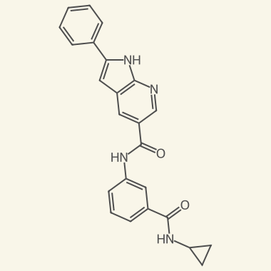 O=C(Nc1cccc(C(=O)NC2CC2)c1)c1cnc2[nH]c(-c3ccccc3)cc2c1